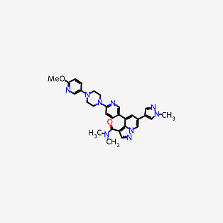 COc1ccc(N2CCN(c3ccc(-c4cc(-c5cnn(C)c5)cn5ncc(C(=O)N(C)C)c45)cn3)CC2)cn1